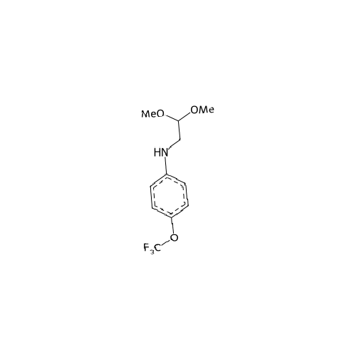 COC(CNc1ccc(OC(F)(F)F)cc1)OC